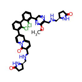 COc1nc(-c2cccc(-c3cccc(-c4ccn5c(=O)c(CNC[C@H]6CCC(=O)N6)ccc5c4)c3Cl)c2Cl)cnc1CNC[C@H]1CCC(=O)N1